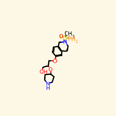 C[SH](=O)(P)N1CCc2cc(OCC(CO)OC3CCNCC3)ccc2C1